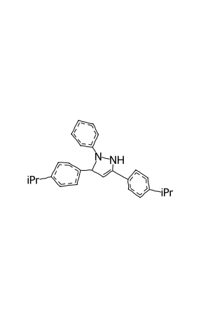 CC(C)c1ccc(C2=CC(c3ccc(C(C)C)cc3)N(c3ccccc3)N2)cc1